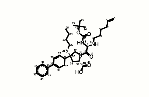 C=CCCCCN[C@H](NC(=O)OC(C)(C)C)C(=O)N1C[C@](SCCCC)(C2C=CC(c3ccccc3)=CC2)C[C@H]1C(=O)O